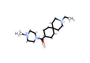 CCN1CCC2(CCC(C(=O)N3CCN(C)CC3)CC2)CC1